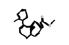 COC(=O)c1ccc2c(c1)C(c1ccccc1C)=CCC2